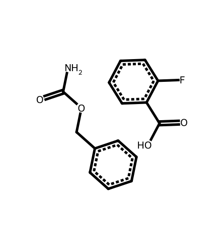 NC(=O)OCc1ccccc1.O=C(O)c1ccccc1F